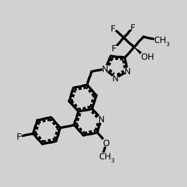 CC[C@](O)(c1cn(Cc2ccc3c(-c4ccc(F)cc4)cc(OC)nc3c2)nn1)C(F)(F)F